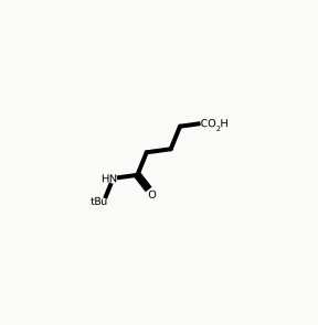 CC(C)(C)NC(=O)CCCC(=O)O